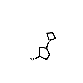 CC1CCC(N2C[CH]C2)C1